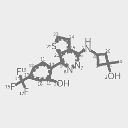 CC1(O)CC(Nc2nnc(-c3ccc(C(F)(F)F)cc3O)c3sccc23)C1